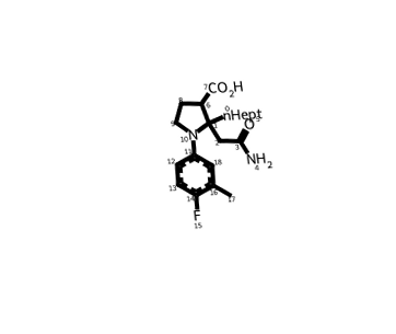 CCCCCCCC1(CC(N)=O)C(C(=O)O)CCN1c1ccc(F)c(C)c1